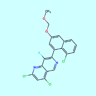 COCOc1cc(-c2ncc3c(Cl)cc(Cl)nc3c2F)c2c(Cl)cccc2c1